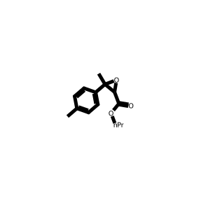 CCCOC(=O)C1OC1(C)c1ccc(C)cc1